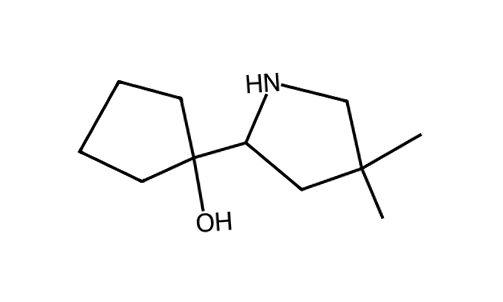 CC1(C)CNC(C2(O)CCCC2)C1